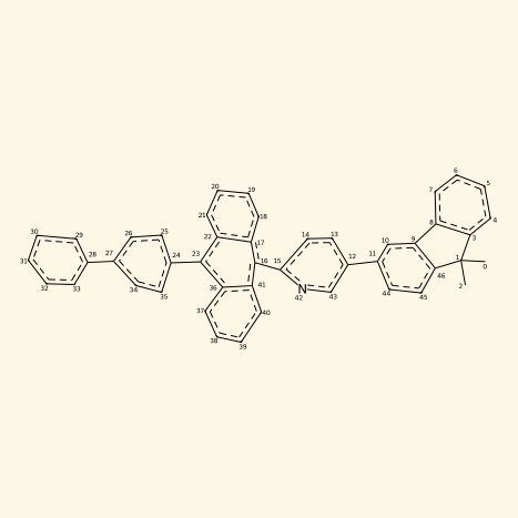 CC1(C)c2ccccc2-c2cc(-c3ccc(-c4c5ccccc5c(-c5ccc(-c6ccccc6)cc5)c5ccccc45)nc3)ccc21